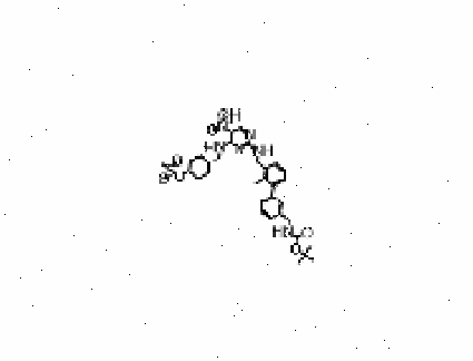 Cc1c(CNc2ncc([N+](=O)O)c(NC[C@H]3CC[C@@H](OS(C)(=O)=O)CC3)n2)cccc1-c1cccc(CNC(=O)OC(C)(C)C)c1